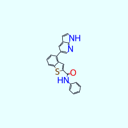 O=C(Nc1ccccc1)c1cc2c(-c3cnc4[nH]ccc4c3)cccc2s1